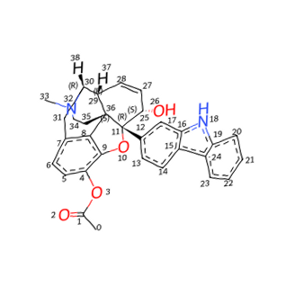 CC(=O)Oc1ccc2c3c1O[C@@]1(c4ccc5c(c4)[nH]c4ccccc45)[C@@H](O)C=C[C@H]4[C@@H](C2)N(C)CC[C@@]341